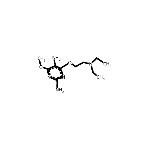 CCN(CC)CCOc1nc(N)nc(OC)c1N